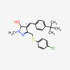 CN1N=C(CSc2ccc(Cl)cc2)/C(=C\c2ccc(C(C)(C)C)cc2)C1O